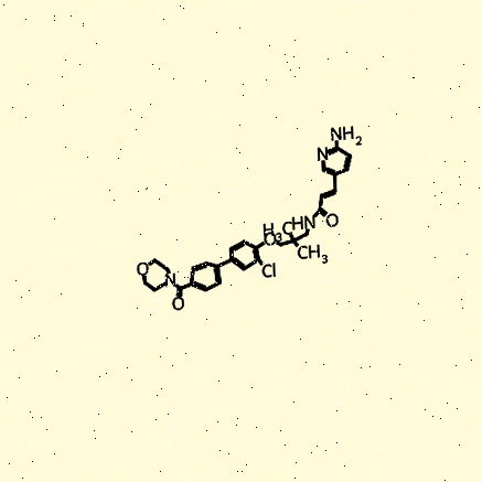 CC(C)(CNC(=O)/C=C/c1ccc(N)nc1)COc1ccc(-c2ccc(C(=O)N3CCOCC3)cc2)cc1Cl